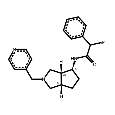 CC(C)C(C(=O)N[C@H]1CC[C@@H]2CN(Cc3ccncc3)C[C@@H]21)c1ccccc1